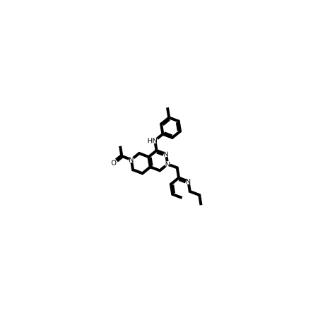 C/C=C\C(CN1CC2=C(CN(C(C)=O)CC2)C(Nc2cccc(C)c2)=N1)=N/CCC